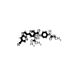 COC(=O)N[C@H]1CC[C@H](NC(=O)c2cnc(-c3cnc4cc(C#N)cnn34)cc2NC(C)C)CC1